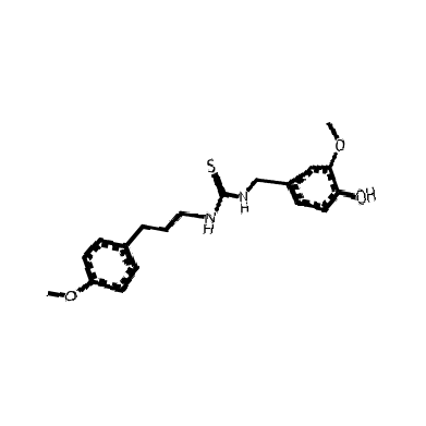 COc1ccc(CCCNC(=S)NCc2ccc(O)c(OC)c2)cc1